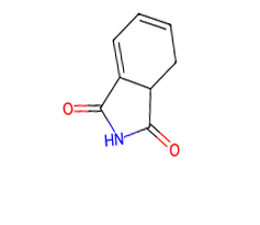 O=C1NC(=O)C2CC=CC=C12